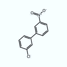 O=[N+]([O-])c1cccc(-c2cccc(Cl)c2)c1